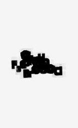 O=C(NCc1ccccc1OC(F)(F)F)c1cc(Br)ccc1NS(=O)(=O)c1ccc(Cl)cc1